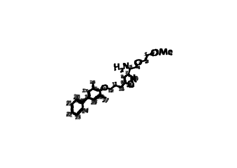 COCCOCC(N)c1cc(CCCOc2c(C)cc(-c3ccccc3)cc2C)on1